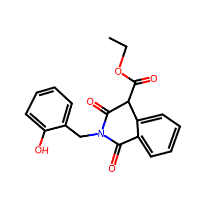 CCOC(=O)C1C(=O)N(Cc2ccccc2O)C(=O)c2ccccc21